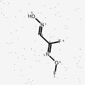 ON=CC(F)=NOF